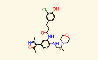 Cc1noc(C)c1-c1ccc(NC[C@H](C)N2CCOCC2)c(NC(=O)CCc2ccc(O)c(Cl)c2)c1